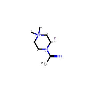 CSC(=N)N1CC[N+](C)(C)CC1.[I-]